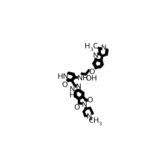 CC1=NC=CC2C1=Nc1cc(OCC(O)CNc3cc[nH]c(=O)c3-c3nc4cc5c(cc4[nH]3)C(=O)N(C3CCN(C)CC3)C5=O)ccc12